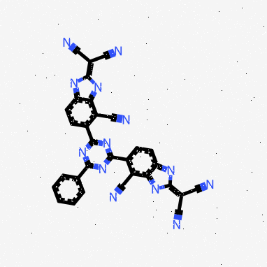 N#CC(C#N)=C1N=c2ccc(-c3nc(-c4ccccc4)nc(-c4ccc5c(c4C#N)=NC(=C(C#N)C#N)N=5)n3)c(C#N)c2=N1